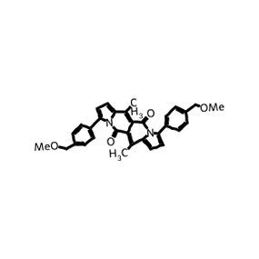 COCc1ccc(-c2ccc3c(C)c4c(=O)n5c(-c6ccc(COC)cc6)ccc5c(C)c4c(=O)n23)cc1